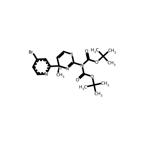 CC(C)(C)OC(=O)N(C(=O)OC(C)(C)C)C1=N[C@](C)(c2cc(Br)ccn2)C=CS1